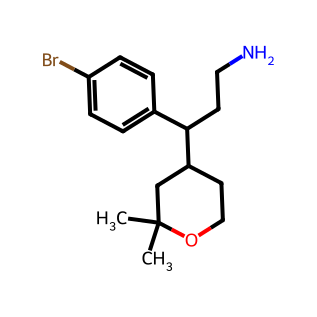 CC1(C)CC(C(CCN)c2ccc(Br)cc2)CCO1